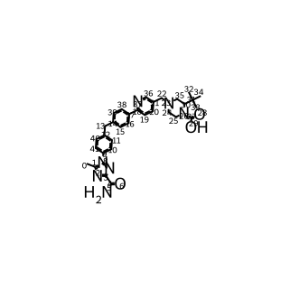 Cc1nc(C(N)=O)nn1-c1ccc(Cc2ccc(-c3ccc(CN4CCN(C(=O)O)C(C(C)(C)C)C4)cn3)cc2)cc1